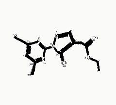 CCOC(=O)c1cnn(-c2nc(C)cc(C)n2)c1Cl